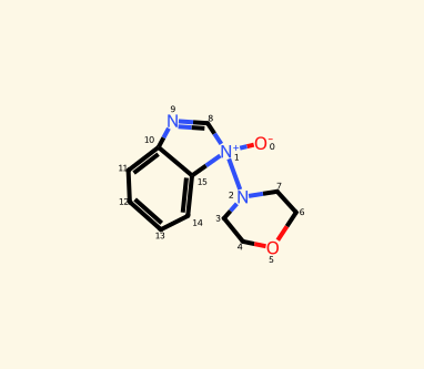 [O-][N+]1(N2CCOCC2)C=Nc2ccccc21